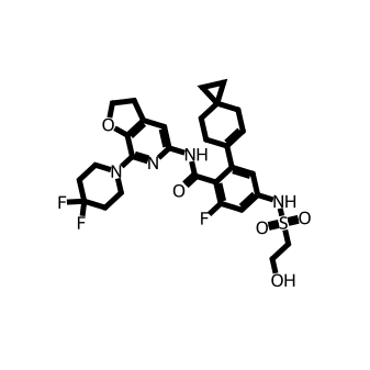 O=C(Nc1cc2c(c(N3CCC(F)(F)CC3)n1)OCC2)c1c(F)cc(NS(=O)(=O)CCO)cc1C1=CCC2(CC1)CC2